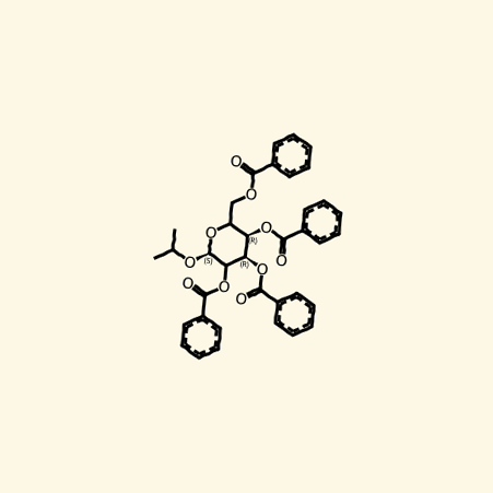 CC(C)O[C@H]1OC(COC(=O)c2ccccc2)[C@@H](OC(=O)c2ccccc2)[C@@H](OC(=O)c2ccccc2)C1OC(=O)c1ccccc1